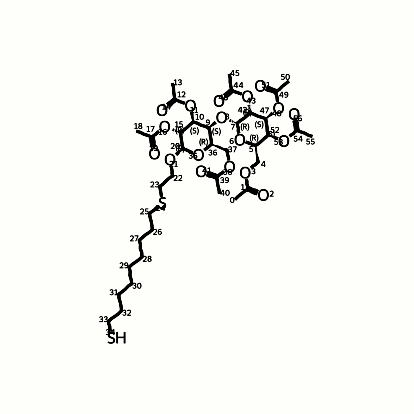 CC(=O)OC[C@H]1O[C@H](O[C@@H]2[C@H](OC(C)=O)[C@@H](OC(C)=O)[C@H](OCCSCCCCCCCCCS)O[C@@H]2COC(C)=O)[C@H](OC(C)=O)[C@@H](OC(C)=O)[C@H]1OC(C)=O